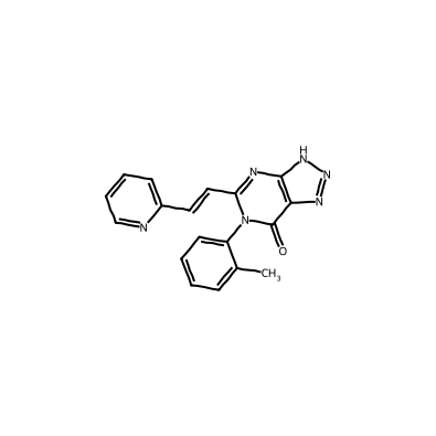 Cc1ccccc1-n1c(/C=C/c2ccccn2)nc2[nH]nnc2c1=O